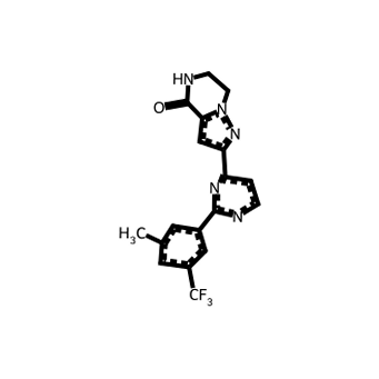 Cc1cc(-c2nccc(-c3cc4n(n3)CCNC4=O)n2)cc(C(F)(F)F)c1